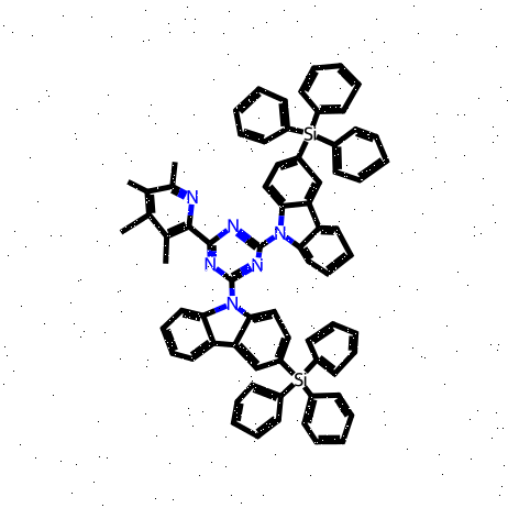 Cc1nc(-c2nc(-n3c4ccccc4c4cc([Si](c5ccccc5)(c5ccccc5)c5ccccc5)ccc43)nc(-n3c4ccccc4c4cc([Si](c5ccccc5)(c5ccccc5)c5ccccc5)ccc43)n2)c(C)c(C)c1C